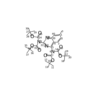 Cc1ccc2c(N(C(=O)OC(C)(C)C)C(=O)OC(C)(C)C)nc(N(C(=O)OC(C)(C)C)C(=O)OC(C)(C)C)nc2c1